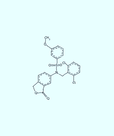 COc1cccc(S(=O)(=O)N(Cc2c(Cl)cccc2Cl)c2ccc3c(c2)C(=O)OC3)c1